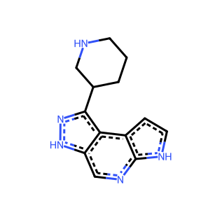 c1cc2c(ncc3[nH]nc(C4CCCNC4)c32)[nH]1